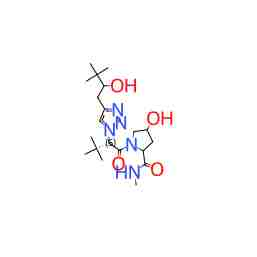 CNC(=O)C1CC(O)CN1C(=O)[C@@H](n1cc(CC(O)C(C)(C)C)nn1)C(C)(C)C